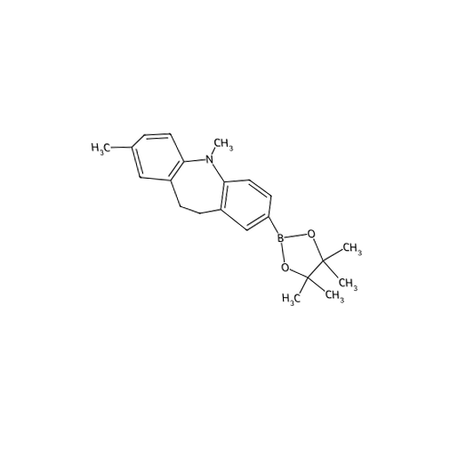 Cc1ccc2c(c1)CCc1cc(B3OC(C)(C)C(C)(C)O3)ccc1N2C